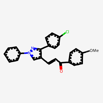 COc1ccc(C(=O)C=Cc2cn(-c3ccccc3)nc2-c2ccc(Cl)cc2)cc1